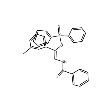 Cc1cccc(C(=CNC(=O)c2ccccc2)OP(=O)(c2ccccc2)c2ccccc2)c1